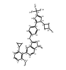 COc1ncnc(C2CC2)c1-c1ncc2c(n1)c(Cc1ccc(-c3nc(C(F)(F)F)cn3C3CN(C)C3)cc1)nn2C